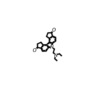 CCN(CC)CCn1c2ccc3c(c2c2c4c(ccc21)C(=O)CC4)CCC3=O